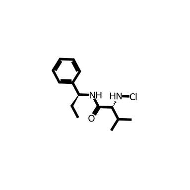 CC[C@H](NC(=O)[C@H](NCl)C(C)C)c1ccccc1